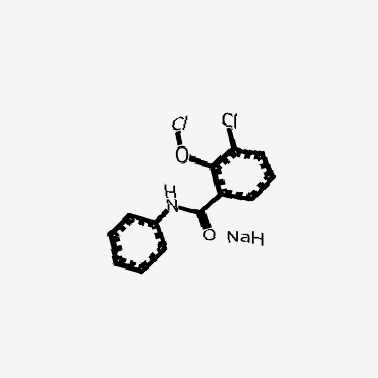 O=C(Nc1ccccc1)c1cccc(Cl)c1OCl.[NaH]